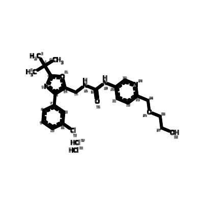 CC(C)(C)c1nc(-c2cccc(Cl)c2)c(CNC(=O)Nc2ccc(COCCO)nc2)o1.Cl.Cl